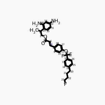 [CH2]C(COC(=O)/C=C/c1ccc(OC(F)(F)c2ccc(CCCCF)cc2)cc1)c1ccc(N)cc1N